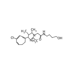 CC1=NC(/C2=C/C=C(Cl)\C=C/CC2)C(C)C(C)N1CC(=O)NCCCCO